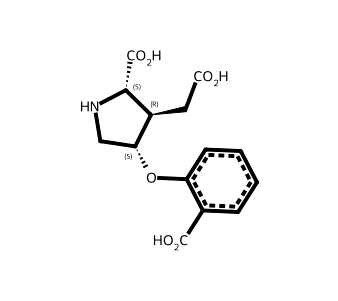 O=C(O)C[C@@H]1[C@@H](C(=O)O)NC[C@H]1Oc1ccccc1C(=O)O